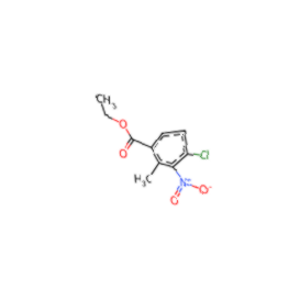 CCOC(=O)c1ccc(Cl)c([N+](=O)[O-])c1C